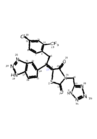 O=C1S/C(=C(/Cc2ccc(Cl)cc2C(F)(F)F)c2ccc3[nH]nnc3c2)C(=O)N1Cc1nnn[nH]1